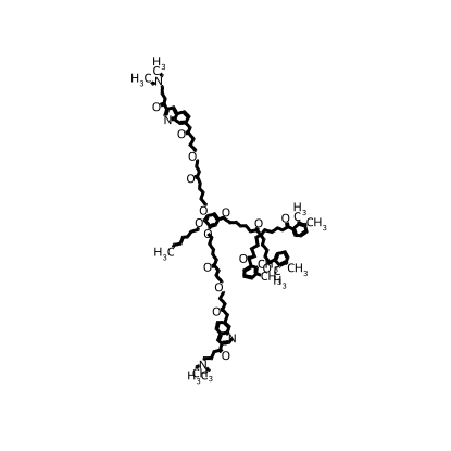 CCCCCCCOc1c(OCCCCCC(=O)CCCOCCCC(=O)Cc2ccc3cc(C(=O)CCCN(CC)CC)cnc3c2)cc(C(=O)CCCCCC(=O)C(CCCCC(=O)c2cccc(C)c2C)(CCCCC(=O)c2cccc(C)c2C)CCCCC(=O)c2cccc(C)c2C)cc1OCCCCCC(=O)CCCOCCCC(=O)Cc1ccc2cc(C(=O)CCCN(CC)CC)cnc2c1